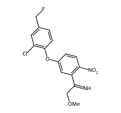 COCC(=N)c1cc(Oc2ccc(CF)cc2Cl)ccc1[N+](=O)[O-]